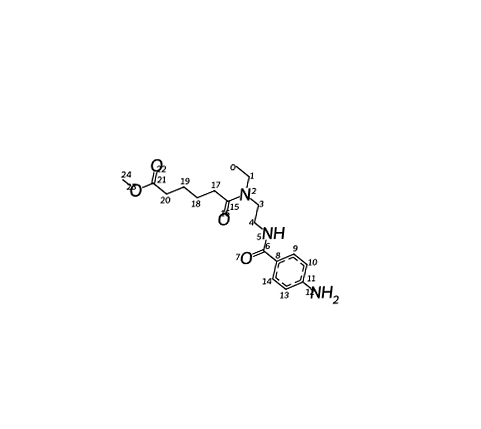 CCN(CCNC(=O)c1ccc(N)cc1)C(=O)CCCCC(=O)OC